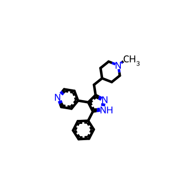 CN1CCC(Cc2n[nH]c(-c3ccccc3)c2-c2ccncc2)CC1